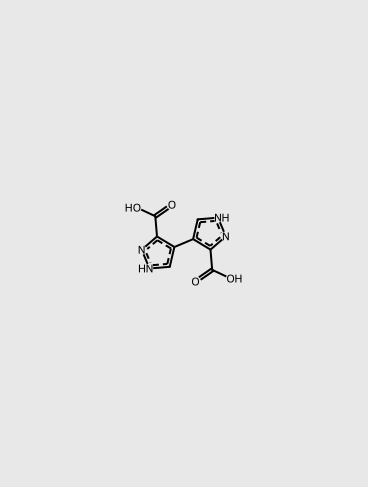 O=C(O)c1n[nH]cc1-c1c[nH]nc1C(=O)O